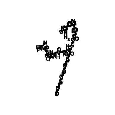 COCCOCCOCCOCCOCCOCCOCCNC(=O)C(CSSCCOC(=O)OCc1ccc(-c2ccnc3ccc(-c4cnc(OC)c(N)c4)cc23)cn1)NC(=O)CCC(=O)NCc1cc(C(=O)NCC(=O)N2CC(F)(F)C[C@H]2C#N)c(Cl)cn1